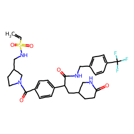 C=CS(=O)(=O)NCC1CCN(C(=O)c2ccc(C(CC3CCC(=O)NC3)C(=O)NCc3ccc(C(F)(F)F)cc3)cc2)C1